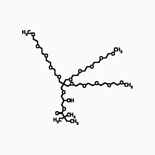 CCC(C)(C)C(=O)OCC(O)COCC(COCCOCCOCCOCCOC)(COCCOCCOCCOCCOC)COCCOCCOCCOCCOC